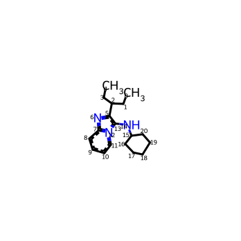 CCC(CC)c1nc2ccccn2c1NC1CCCCC1